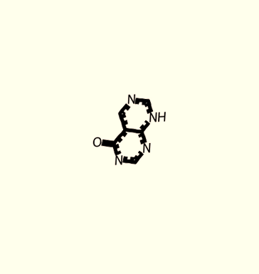 O=c1ncnc2[nH]cncc1-2